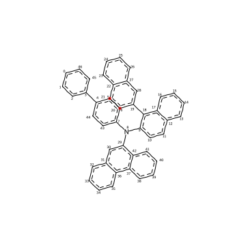 c1ccc(-c2ccc(N(c3ccc4ccccc4c3-c3ccc4ccccc4c3)c3cc4ccccc4c4ccccc34)cc2)cc1